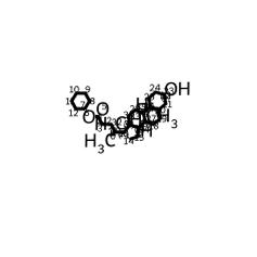 C[C@H](CCC(=O)OC1CCCCC1)[C@H]1CC[C@H]2[C@@H]3CC=C4C[C@@H](O)CC[C@]4(C)[C@H]3CC[C@]12C